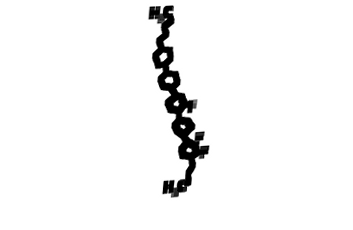 C/C=C/CCC1CCC(C2CC=C(c3ccc(-c4ccc(-c5ccc(CCCC)c(F)c5F)cc4)c(F)c3)CC2)CC1